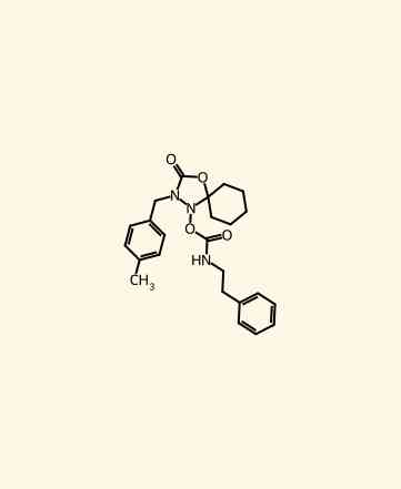 Cc1ccc(CN2C(=O)OC3(CCCCC3)N2OC(=O)NCCc2ccccc2)cc1